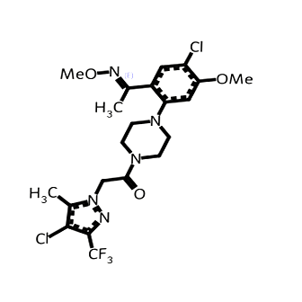 CO/N=C(\C)c1cc(Cl)c(OC)cc1N1CCN(C(=O)Cn2nc(C(F)(F)F)c(Cl)c2C)CC1